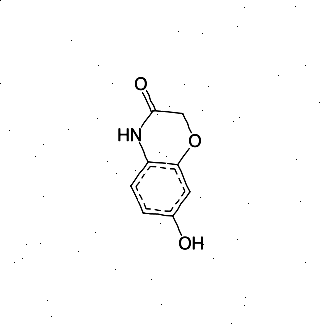 O=C1COc2cc(O)ccc2N1